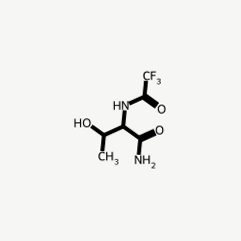 CC(O)C(NC(=O)C(F)(F)F)C(N)=O